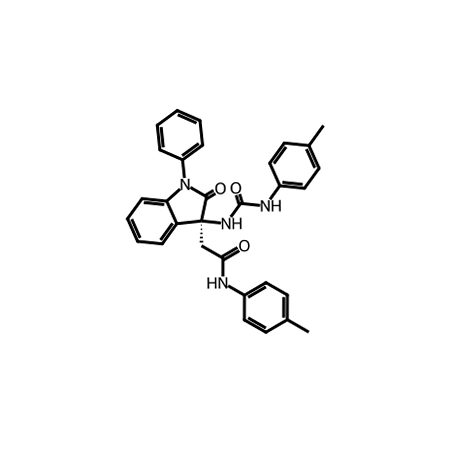 Cc1ccc(NC(=O)C[C@@]2(NC(=O)Nc3ccc(C)cc3)C(=O)N(c3ccccc3)c3ccccc32)cc1